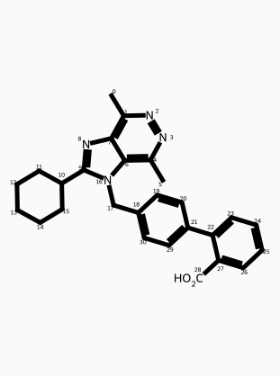 Cc1nnc(C)c2c1nc(C1CCCCC1)n2Cc1ccc(-c2ccccc2C(=O)O)cc1